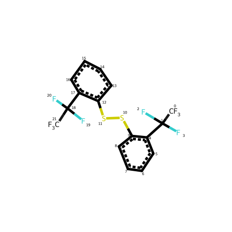 FC(F)(F)C(F)(F)c1ccccc1SSc1ccccc1C(F)(F)C(F)(F)F